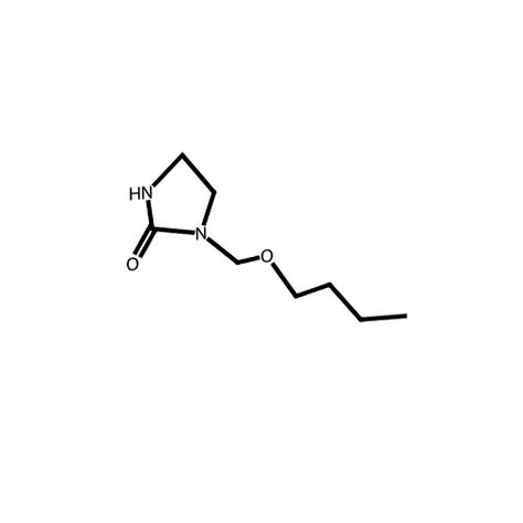 CCCCOCN1CCNC1=O